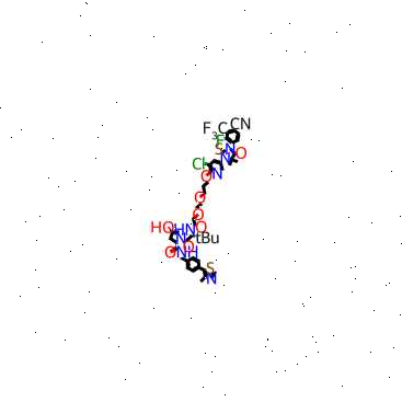 Cc1ncsc1-c1ccc(CNC(=O)[C@@H]2C[C@@H](O)CN2C(=O)[C@@H](NC(=O)COCCOCCCOc2ncc(N3C(=S)N(c4ccc(C#N)c(C(F)(F)F)c4F)C(=O)C3(C)C)cc2Cl)C(C)(C)C)cc1